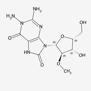 CO[C@@H]1[C@@H](O)[C@@H](CO)O[C@H]1n1c(=O)[nH]c2c(=O)n(N)c(N)nc21